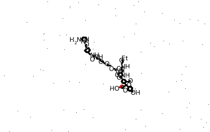 CCOCCNC(=O)CC(NC(=O)c1ccc2c(c1)C(=O)OC21c2ccc(O)cc2Oc2cc(O)ccc21)C(=O)NCCOCCOCCOCCNC(=O)NCc1ccc(COc2nccc(N)n2)cc1